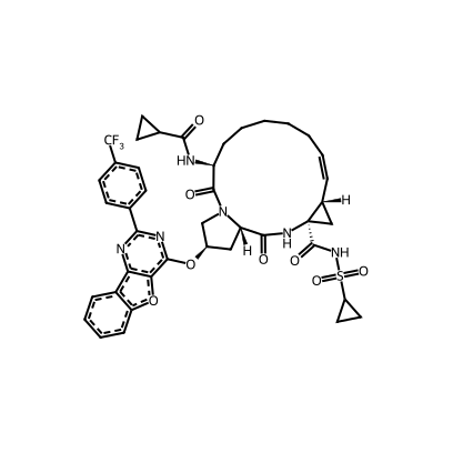 O=C(N[C@H]1CCCCC/C=C\[C@@H]2C[C@@]2(C(=O)NS(=O)(=O)C2CC2)NC(=O)[C@@H]2C[C@@H](Oc3nc(-c4ccc(C(F)(F)F)cc4)nc4c3oc3ccccc34)CN2C1=O)C1CC1